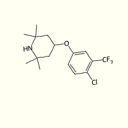 CC1(C)CC(Oc2ccc(Cl)c(C(F)(F)F)c2)CC(C)(C)N1